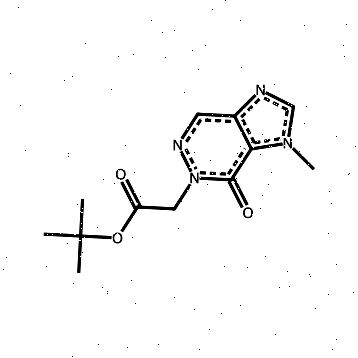 Cn1cnc2cnn(CC(=O)OC(C)(C)C)c(=O)c21